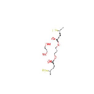 CC(S)CC(=O)OCCCOC(=O)CC(C)S.OCCO